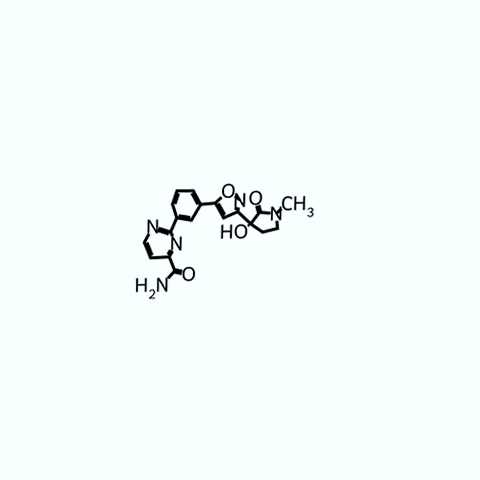 CN1CC[C@@](O)(c2cc(-c3cccc(-c4nccc(C(N)=O)n4)c3)on2)C1=O